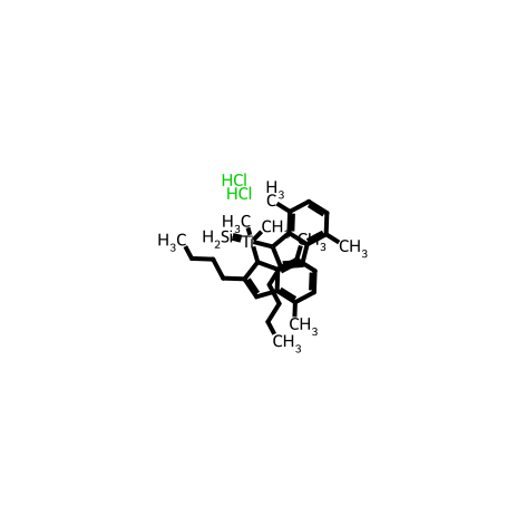 CCCCC1=Cc2c(C)ccc(C)c2[CH]1[Ti]([CH3])([CH3])(=[SiH2])[CH]1C(CCCC)=Cc2c(C)ccc(C)c21.Cl.Cl